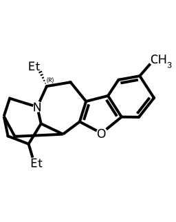 CCC1CC2CC3c4oc5ccc(C)cc5c4C[C@@H](CC)N(C2)C13